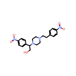 O=[N+]([O-])c1ccc(CCN2CCN(C(CO)c3ccc([N+](=O)[O-])cc3)CC2)cc1